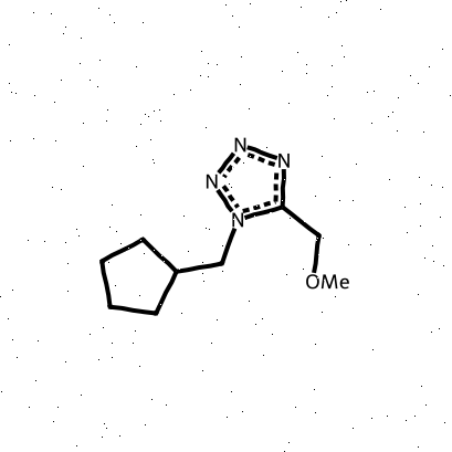 [CH2]OCc1nnnn1CC1CCCC1